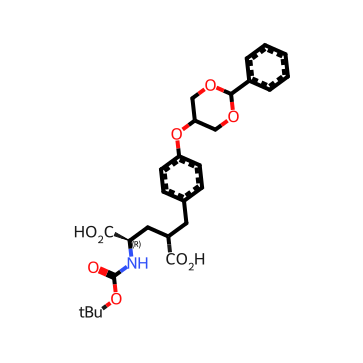 CC(C)(C)OC(=O)N[C@H](CC(Cc1ccc(OC2COC(c3ccccc3)OC2)cc1)C(=O)O)C(=O)O